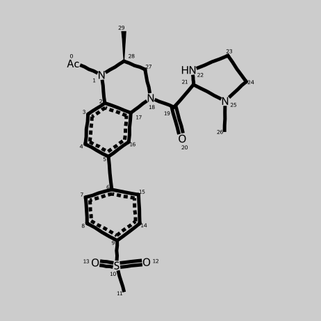 CC(=O)N1c2ccc(-c3ccc(S(C)(=O)=O)cc3)cc2N(C(=O)C2NCCN2C)C[C@@H]1C